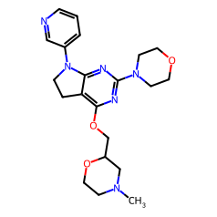 CN1CCOC(COc2nc(N3CCOCC3)nc3c2CCN3c2cccnc2)C1